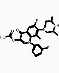 CC1CN(c2c(F)cc3c(=O)c(OC(=O)O)cn(-c4cccc(F)c4)c3c2F)CC(C)N1